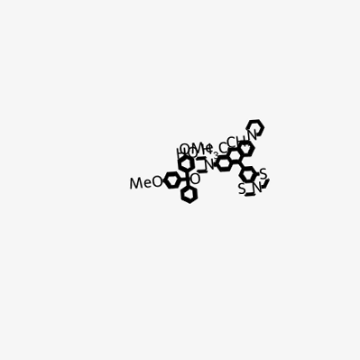 COc1ccc(C(OCC/[N+](CCO)=C2\C=CC3=C(c4cc5c6c(c4)SCCN6CCS5)c4ccc(N5CCCCC5)cc4C(C)(C)C3=C2)(c2ccccc2)c2ccc(OC)cc2)cc1